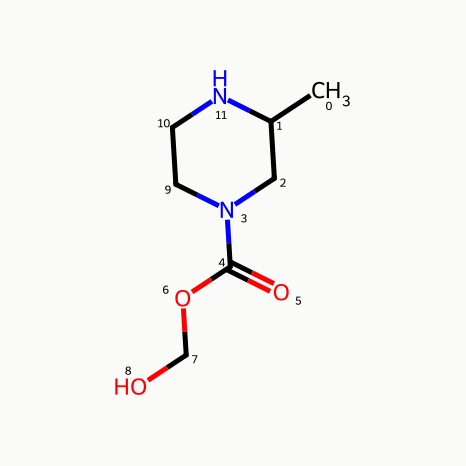 CC1CN(C(=O)OCO)CCN1